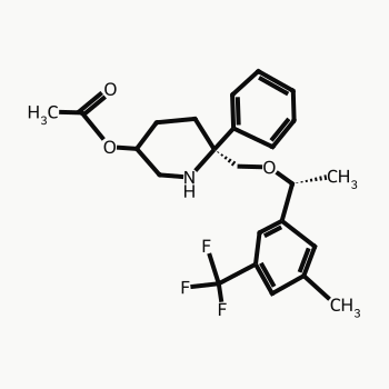 CC(=O)OC1CC[C@@](CO[C@H](C)c2cc(C)cc(C(F)(F)F)c2)(c2ccccc2)NC1